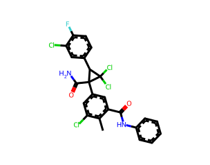 Cc1c(Cl)cc(C2(C(N)=O)C(c3ccc(F)c(Cl)c3)C2(Cl)Cl)cc1C(=O)Nc1ccccc1